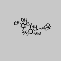 CC1(C)OC[C@H](CCCOc2c(C(C)(C)C)cc(SC(C)(C)Sc3cc(C(C)(C)C)c(O)c(C(C)(C)C)c3)cc2C(C)(C)C)O1